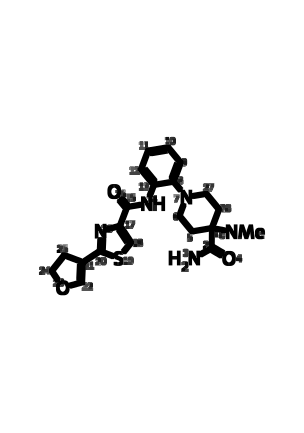 CNC1(C(N)=O)CCN(c2ccccc2NC(=O)c2csc(C3=COCC3)n2)CC1